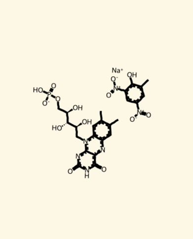 Cc1cc([N+](=O)[O-])cc([N+](=O)[O-])c1O.Cc1cc2nc3c(=O)[nH]c(=O)nc-3n(C[C@H](O)[C@H](O)[C@H](O)COP(=O)([O-])O)c2cc1C.[Na+]